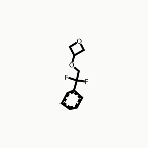 FC(F)(COC1COC1)c1c[c]ccc1